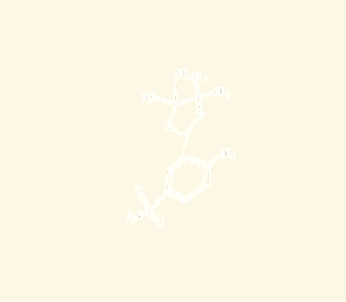 Cc1ccc(S(N)(=O)=O)cc1B1OC(C)(C)C(C)(C)O1